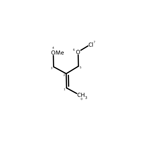 C/C=C(/COC)COCl